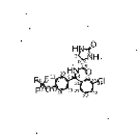 O=C1NC[C@@H](C(=O)N[C@H](c2ccc(OC(F)(F)F)cc2)c2cccc(Cl)c2)N1